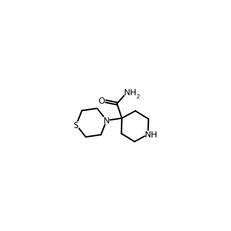 NC(=O)C1(N2CCSCC2)CCNCC1